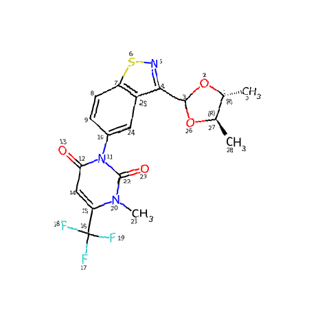 C[C@H]1OC(c2nsc3ccc(-n4c(=O)cc(C(F)(F)F)n(C)c4=O)cc23)O[C@@H]1C